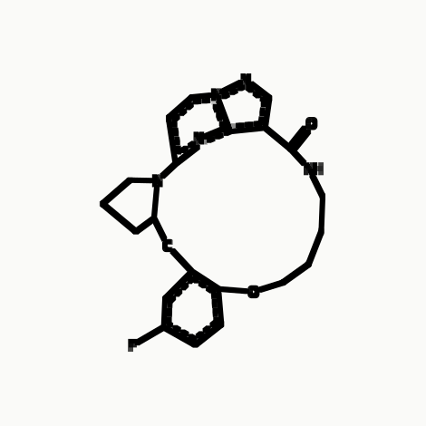 O=C1NCCCCOc2ccc(F)cc2CC2CCCN2c2ccn3ncc1c3n2